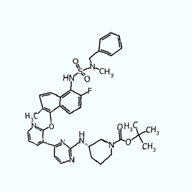 Cc1ccc2c(NS(=O)(=O)N(C)Cc3ccccc3)c(F)ccc2c1Oc1ncccc1-c1ccnc(N[C@H]2CCCN(C(=O)OC(C)(C)C)C2)n1